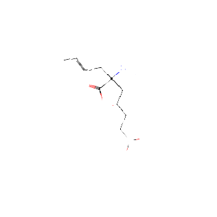 C/C=C/CC(N)(CCCCB(O)O)C(=O)O